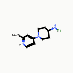 COc1cc(N2CCC(NCl)CC2)ccn1